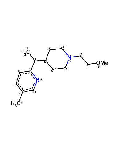 COCCN1CCC(C(C)c2ccc(C)cn2)CC1